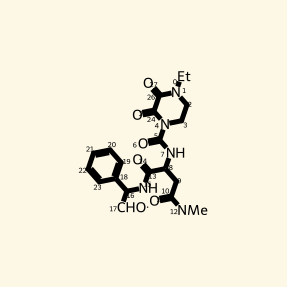 CCN1CCN(C(=O)NC(CC(=O)NC)C(=O)NC([C]=O)c2ccccc2)C(=O)C1=O